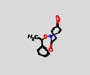 CC(ON1C(=O)CC12C=CC(=O)C=C2)c1ccccc1